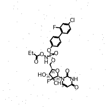 CCC(=O)ONP(=O)(OC[C@H]1O[C@@H](n2ccc(=O)[nH]c2=O)[C@](C)(F)[C@@H]1O)Oc1ccc(-c2ccc(Cl)cc2F)cc1